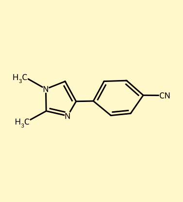 Cc1nc(-c2ccc(C#N)cc2)cn1C